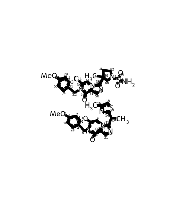 COc1ccc(Cn2c(C)cn3c(C(C)c4nc(C)cs4)ncc3c2=O)cc1.COc1ccc(Cn2c(C)cn3c(C4(C)CCN(S(N)(=O)=O)C4)ncc3c2=O)cc1